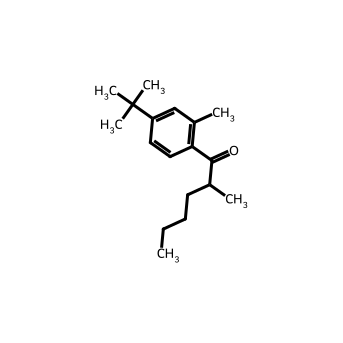 CCCCC(C)C(=O)c1ccc(C(C)(C)C)cc1C